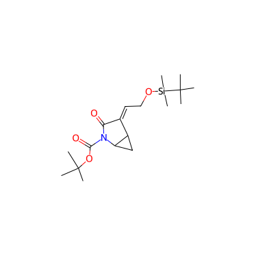 CC(C)(C)OC(=O)N1C(=O)/C(=C/CO[Si](C)(C)C(C)(C)C)C2CC21